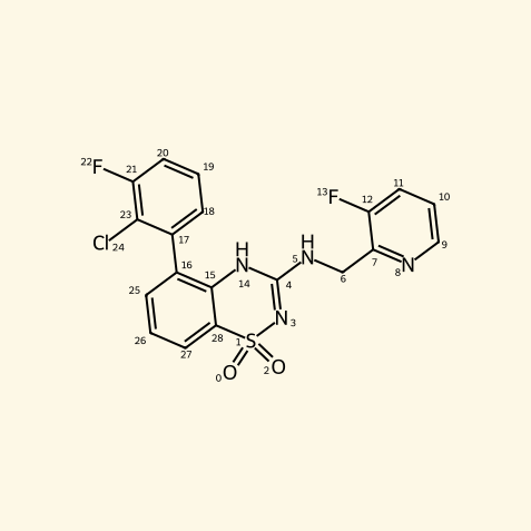 O=S1(=O)N=C(NCc2ncccc2F)Nc2c(-c3cccc(F)c3Cl)cccc21